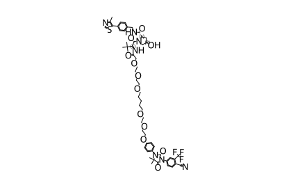 Cc1ncsc1-c1ccc(CNC(=O)[C@@H]2C[C@@H](O)CN2C(=O)[C@@H](NC(=O)COCCOCCOCCCCCOCCOCCOc2ccc(N3C(=O)N(c4ccc(C#N)c(C(F)(F)F)c4)C(=O)C3(C)C)cc2)C(C)(C)C)cc1